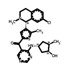 [CH2][C@@H]1C[C@@H](Nc2ncncc2C(=O)c2cc([C@H]3c4cc(Cl)ccc4CCN3C)c(C)s2)C[C@@H]1O